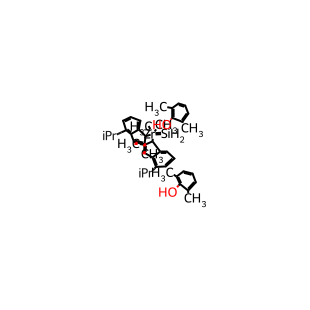 CC1=Cc2c(C(C)C)cccc2[CH]1[Zr]([CH3])([CH3])(=[SiH2])[CH]1C(C)=Cc2c(C(C)C)cccc21.Cc1cccc(C)c1O.Cc1cccc(C)c1O